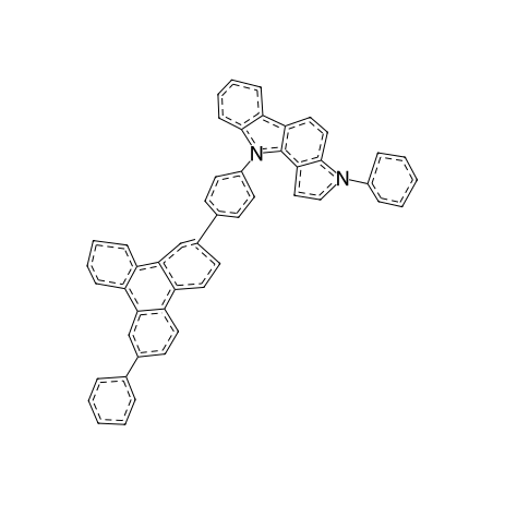 c1ccc(-c2ccc3c4ccc(-c5ccc(-n6c7ccccc7c7ccc8c(ccn8-c8ccccc8)c76)cc5)cc4c4ccccc4c3c2)cc1